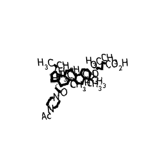 C=C(C)[C@@H]1CC[C@]2(CC(=O)N3CCN(C(C)=O)CC3)CC[C@]3(C)[C@H](CC[C@@H]4[C@@]5(C)CC[C@H](OC(=O)CC(C)(C)C(=O)O)C(C)(C)[C@@H]5CC[C@]43C)[C@@H]12